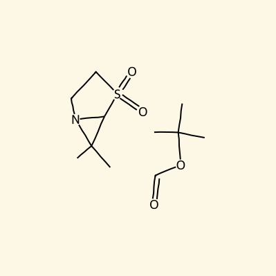 CC(C)(C)OC=O.CC1(C)C2N1CCS2(=O)=O